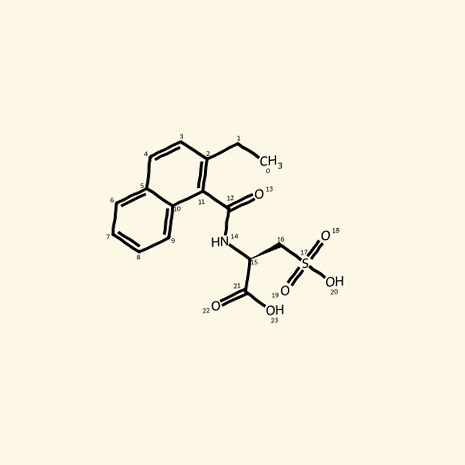 CCc1ccc2ccccc2c1C(=O)N[C@@H](CS(=O)(=O)O)C(=O)O